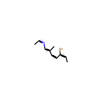 C\C=N/C=C(C)/C=C\C(S)=C/C